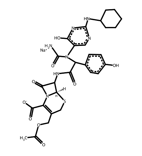 CC(=O)OCC1=C(C(=O)[O-])N2C(=O)C(NC(=O)C(c3ccc(O)cc3)N(C(N)=O)c3cnc(NC4CCCCC4)nc3O)[C@H]2SC1.[Na+]